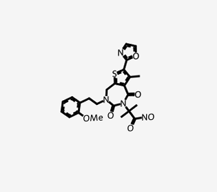 COc1ccccc1CCN1Cc2sc(-c3ncco3)c(C)c2C(=O)N(C(C)(C)C(=O)N=O)C1=O